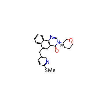 CSc1ccc(Cc2cc3c(=O)n([C@@H]4CCCOC4)cnc3c3ccccc23)cn1